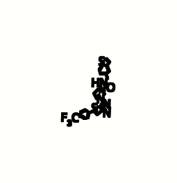 O=C(NCc1ccc2sccc2c1)[C@H]1CCCN(c2ncnc3cc(-c4ccc(C(F)(F)F)cc4)sc23)C1